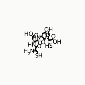 N[C@@H](CS)C(=O)N[C@@H](CC(=O)O)C(=O)N[C@@H](CC(=O)O)C(=O)N[C@@H](CS)C(=O)O